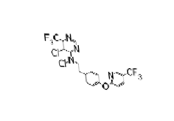 FC(F)(F)c1ccc(Oc2ccc(CCN(Cl)c3ncnc(C(F)(F)F)c3Cl)cc2)nc1